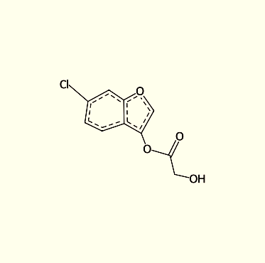 O=C(CO)Oc1coc2cc(Cl)ccc12